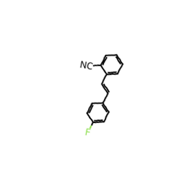 N#Cc1ccccc1C=Cc1ccc(F)cc1